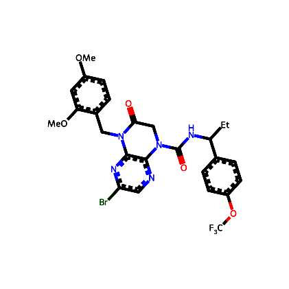 CCC(NC(=O)N1CC(=O)N(Cc2ccc(OC)cc2OC)c2nc(Br)cnc21)c1ccc(OC(F)(F)F)cc1